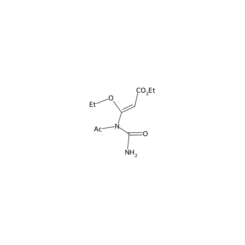 CCOC(=O)C=C(OCC)N(C(C)=O)C(N)=O